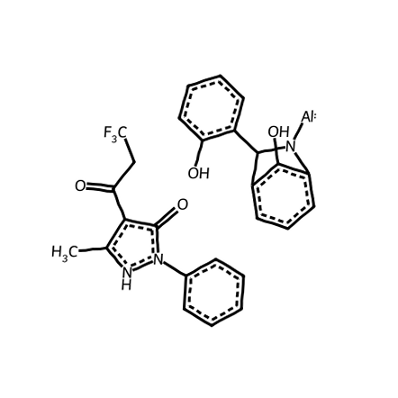 Cc1[nH]n(-c2ccccc2)c(=O)c1C(=O)CC(F)(F)F.Oc1ccccc1C1c2cccc(c2O)[N]1[Al]